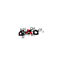 Cc1cc(N2C[C@H]3CC[C@@H](C2)[C@@H]3Nc2nc(Oc3cccc(C(F)(F)F)c3)n(C(C)C)n2)sn1